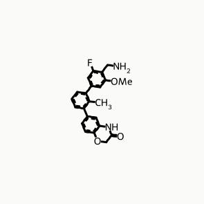 COc1cc(-c2cccc(-c3ccc4c(c3)NC(=O)CO4)c2C)cc(F)c1CN